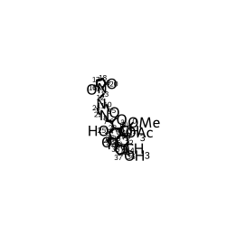 COC[C@H]1OC(=O)C(=CN2CCN(CCN3C(=O)C=CC3=O)CC2)C2=C(O)C(=O)C3=C([C@H](OC(C)=O)C[C@]4(C)[C@@H](O)CC[C@@H]34)[C@]21C